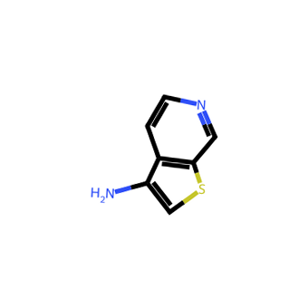 Nc1csc2cnccc12